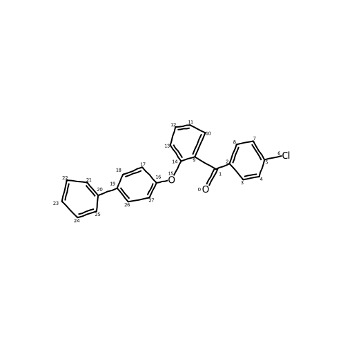 O=C(c1ccc(Cl)cc1)c1ccccc1Oc1ccc(-c2ccccc2)cc1